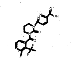 O=C(O)c1ccc(N2CCCN(C(=O)c3cccc(F)c3C(F)(F)F)C2=O)nn1